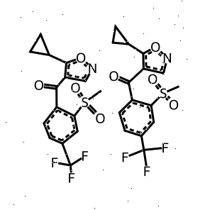 CS(=O)(=O)c1cc(C(F)(F)F)ccc1C(=O)c1cnoc1C1CC1.CS(=O)(=O)c1cc(C(F)(F)F)ccc1C(=O)c1cnoc1C1CC1